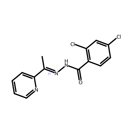 C/C(=N\NC(=O)c1ccc(Cl)cc1Cl)c1ccccn1